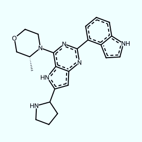 C[C@@H]1COCCN1c1nc(-c2cccc3[nH]ccc23)nc2cc(C3CCCN3)[nH]c12